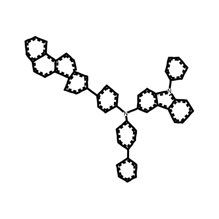 c1ccc(-c2ccc(N(c3ccc(-c4ccc5c(ccc6c7ccccc7ccc56)c4)cc3)c3ccc4c(c3)c3ccccc3n4-c3ccccc3)cc2)cc1